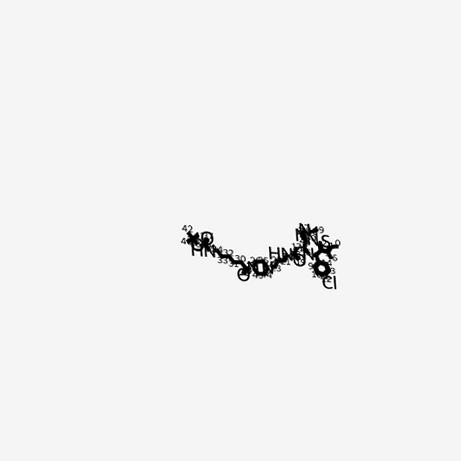 Cc1sc2c(c1C)C(c1ccc(Cl)cc1)=N[C@@H](CC(=O)NCCCN1CCN(C(=O)CCCCCNC(=O)OC(C)(C)C)CC1)c1nnc(C)n1-2